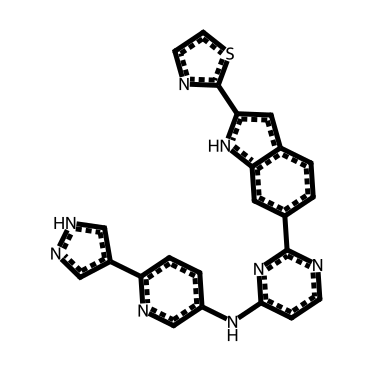 c1cc(Nc2ccc(-c3cn[nH]c3)nc2)nc(-c2ccc3cc(-c4nccs4)[nH]c3c2)n1